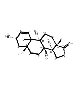 C[C@]12C=C[C@@H](O)C[C@H]1CC[C@@H]1[C@@H]2CC[C@]2(C)C(=O)CC[C@@H]12